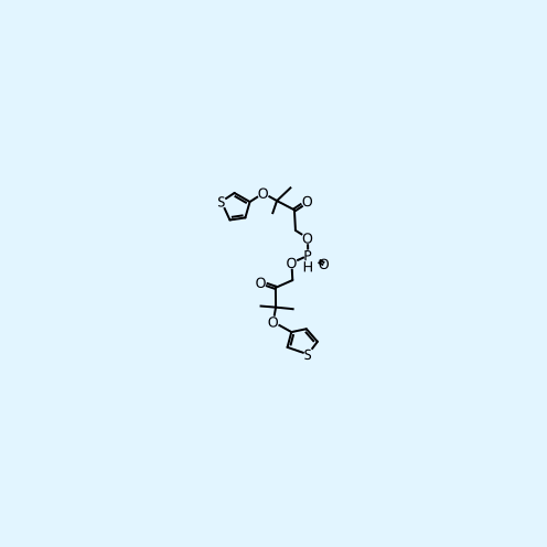 CC(C)(Oc1ccsc1)C(=O)CO[PH](=O)OCC(=O)C(C)(C)Oc1ccsc1